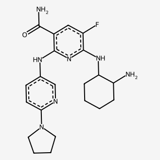 NC(=O)c1cc(F)c(NC2CCCCC2N)nc1Nc1ccc(N2CCCC2)nc1